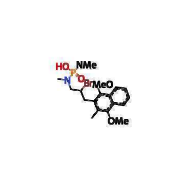 CNP(=O)(O)N(C)CC(Br)Cc1c(C)c(OC)c2ccccc2c1OC